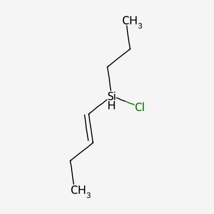 CCC=C[SiH](Cl)CCC